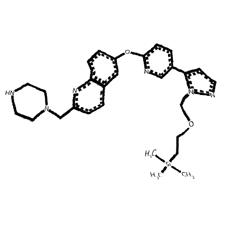 C[Si](C)(C)CCOCn1nccc1-c1ccc(Oc2ccc3nc(CN4CCNCC4)ccc3c2)nc1